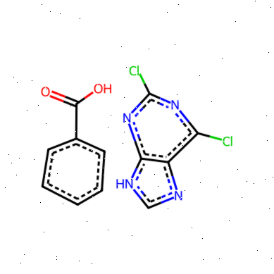 Clc1nc(Cl)c2nc[nH]c2n1.O=C(O)c1ccccc1